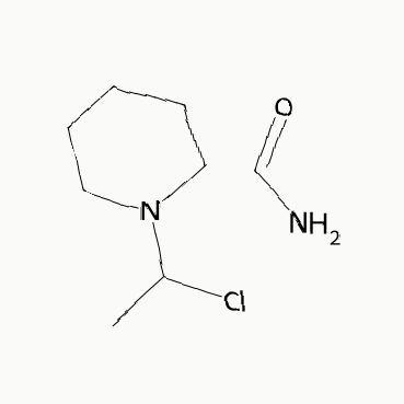 CC(Cl)N1CCCCC1.NC=O